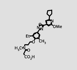 CCc1cc(-c2noc(-c3cc(OC)nc(C4CCCC4)c3)n2)cc(C)c1OCCCN(C)C(=O)CC(=O)O